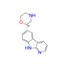 c1cnc2[nH]c3ccc([C@H]4CNCCO4)cc3c2c1